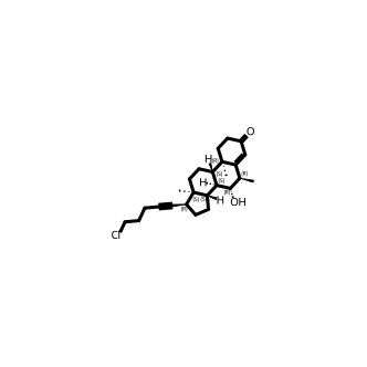 C[C@@H]1C2=CC(=O)CC[C@]2(C)[C@H]2CC[C@]3(C)[C@H](C#CCCCCl)CC[C@H]3[C@@H]2[C@H]1O